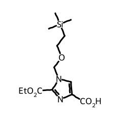 CCOC(=O)c1nc(C(=O)O)cn1COCC[Si](C)(C)C